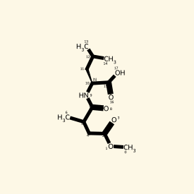 COC(=O)CC(C)C(=O)N[C@@H](CC(C)C)C(=O)O